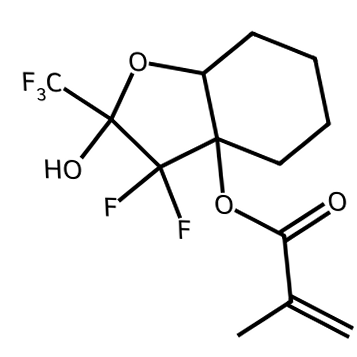 C=C(C)C(=O)OC12CCCCC1OC(O)(C(F)(F)F)C2(F)F